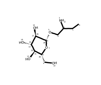 CCC(N)CO[C@@H]1O[C@H](CO)[C@@H](O)[C@H](O)[C@H]1O